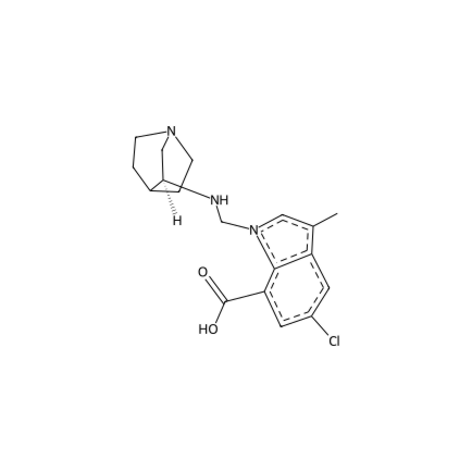 Cc1cn(CN[C@@H]2CN3CCC2CC3)c2c(C(=O)O)cc(Cl)cc12